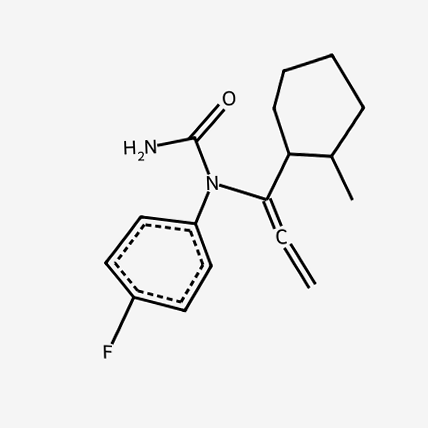 C=C=C(C1CCCCC1C)N(C(N)=O)c1ccc(F)cc1